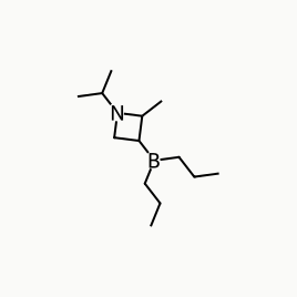 CCCB(CCC)C1CN(C(C)C)C1C